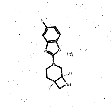 Cl.Fc1ccc2oc(N3CC[C@@H]4CN[C@@H]4C3)nc2c1